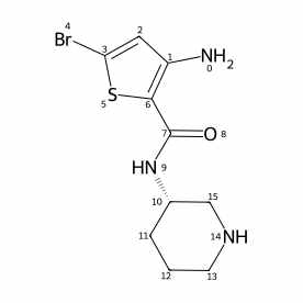 Nc1cc(Br)sc1C(=O)N[C@H]1CCCNC1